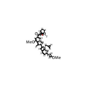 COc1cc(C(=O)N2CC3CCC2[C@@H]3N)cn2nc(-c3cc4ccc(N5CC(OC)C5)nc4n3CC3CC3)c(C)c12